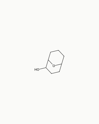 OC1CCC2CCCC1O2